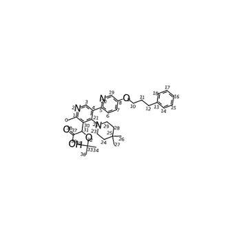 Cc1ncc(-c2ccc(OCCCc3ccccc3)cn2)c(N2CCC(C)(C)CC2)c1C(OC(C)(C)C)C(=O)O